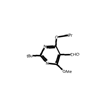 COc1nc(C(C)(C)C)nc(OC(C)C)c1C=O